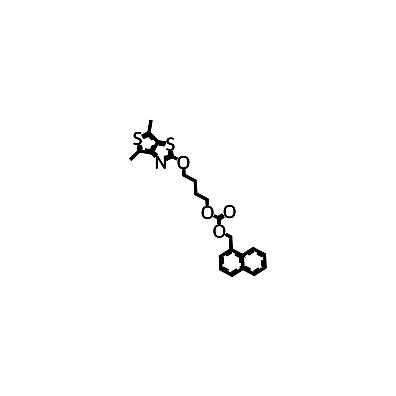 Cc1sc(C)c2sc(OCCCCOC(=O)OCc3cccc4ccccc34)nc12